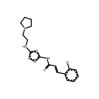 O=C(C=Cc1ccccc1Cl)Nc1nnc(NCCN2CCCC2)s1